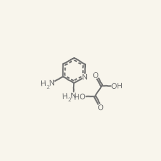 Nc1cccnc1N.O=C(O)C(=O)O